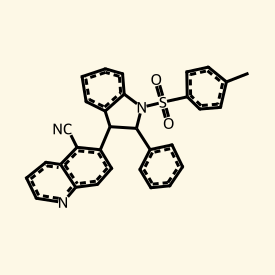 Cc1ccc(S(=O)(=O)N2c3ccccc3C(c3ccc4ncccc4c3C#N)C2c2ccccc2)cc1